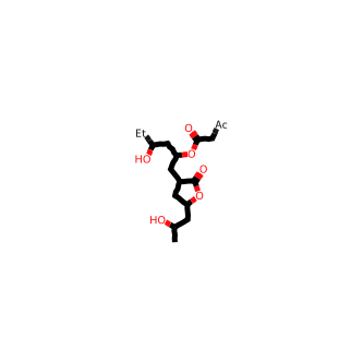 CCC(O)CC(CC1CC(CC(C)O)OC1=O)OC(=O)CC(C)=O